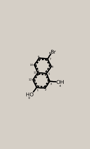 Oc1cc(O)c2cc(Br)ccc2c1